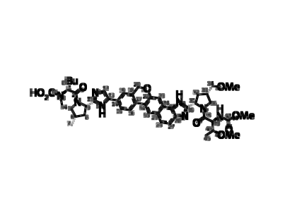 CC[C@@H](C)[C@@H](C(=O)N1C[C@@H](C)C[C@H]1c1ncc(-c2ccc3c(c2)COc2cc4c(ccc5nc([C@@H]6C[C@H](COC)CN6C(=O)[C@@H](NC(=O)OC)[C@H](C)OC)[nH]c54)cc2-3)[nH]1)N(C)C(=O)O